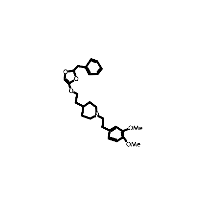 COc1ccc(CCN2CCC(CCOC3=COC(Cc4ccccc4)O3)CC2)cc1OC